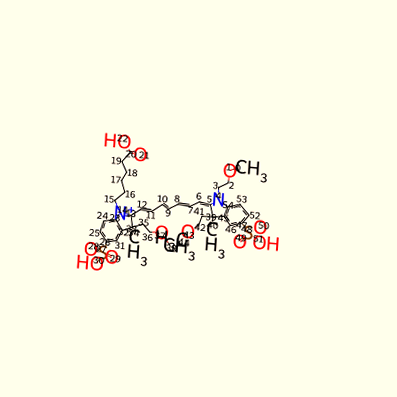 COCCN1/C(=C/C=C/C=C/C=C/C2=[N+](CCCCCC(=O)O)c3ccc(S(=O)(=O)O)cc3C2(C)CCOC)C(C)(CCOC)c2cc(S(=O)(=O)O)ccc21